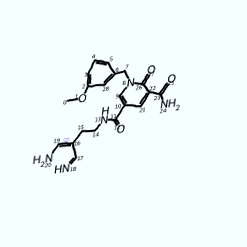 COc1cccc(Cn2cc(C(=O)NCC/C(C=N)=C/N)cc(C(N)=O)c2=O)c1